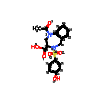 CC(=O)N1CC(C(=O)O)N(S(=O)(=O)c2ccc(O)cc2)Cc2ccccc21